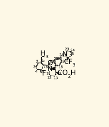 Cc1cccc(F)c1C(=O)N1CCC[C@H](C(=O)O)[C@@H]1c1ccc(CN2CCCC2C(F)(F)F)cc1